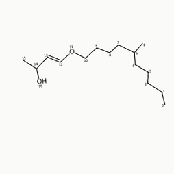 CCCCCC(C)CCCCO/C=C/C(C)O